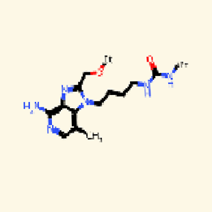 CCOCc1nc2c(N)ncc(C)c2n1CCCCNC(=O)NC(C)C